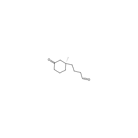 C[C@]1(CCCC=O)CCCC(=O)C1